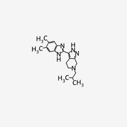 Cc1cc2nc(-c3[nH]nc4c3CCN(CC(C)C)C4)[nH]c2cc1C